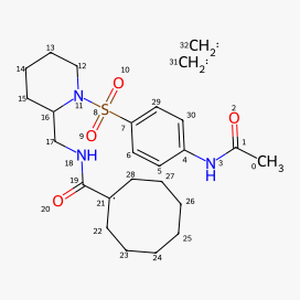 CC(=O)Nc1ccc(S(=O)(=O)N2CCCCC2CNC(=O)[C]2CCCCCCC2)cc1.[CH2].[CH2]